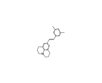 Cc1cc(C)cc(/C=C/c2cc3c4c(c2)CCCN4CCC3)c1